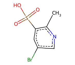 Cc1ncc(Br)cc1S(=O)(=O)O